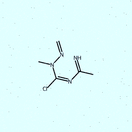 C=NN(C)/C(Cl)=N\C(C)=N